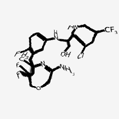 CC1(C2CC(NC(O)C3=C(Cl)CC(C(F)(F)F)CN3)=CCC2F)N=C(N)COCC1(F)F